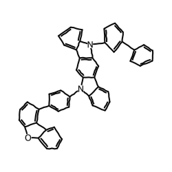 c1ccc(-c2cccc(-n3c4ccccc4c4cc5c(cc43)c3ccccc3n5-c3ccc(-c4cccc5oc6ccccc6c45)cc3)c2)cc1